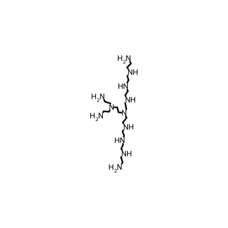 NCCNCCNCCNCCN(CCNCCNCCNCCN)CCN(CCN)CCN